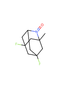 CC12CC3(F)CC(CC(F)(C3)C1)[N+]2=O